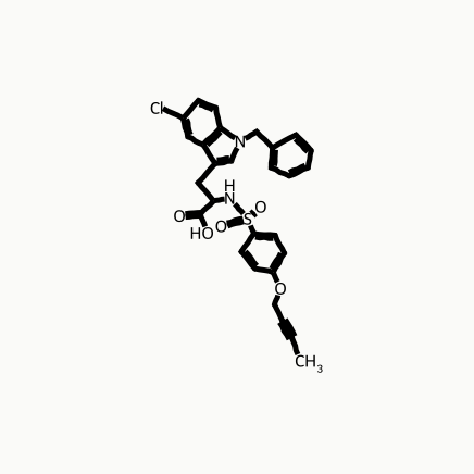 CC#CCOc1ccc(S(=O)(=O)NC(Cc2cn(Cc3ccccc3)c3ccc(Cl)cc23)C(=O)O)cc1